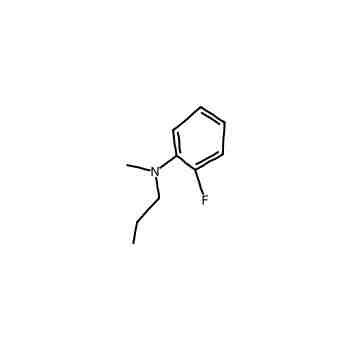 CCCN(C)c1ccccc1F